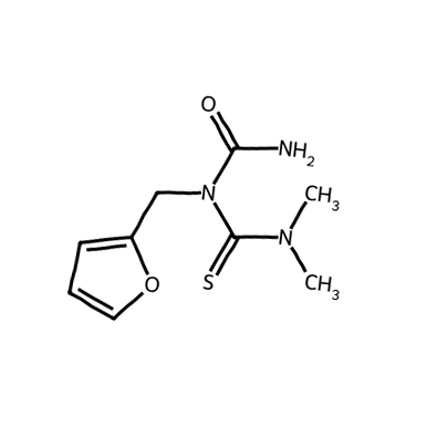 CN(C)C(=S)N(Cc1ccco1)C(N)=O